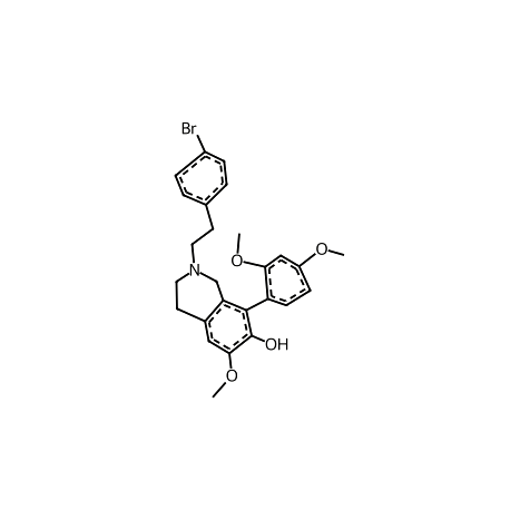 COc1ccc(-c2c(O)c(OC)cc3c2CN(CCc2ccc(Br)cc2)CC3)c(OC)c1